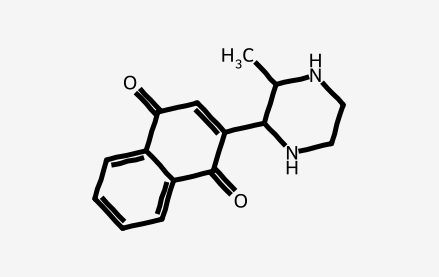 CC1NCCNC1C1=CC(=O)c2ccccc2C1=O